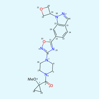 COC1(C(=O)N2CCN(c3noc(-c4ccc5cnn(C6COC6)c5c4)n3)CC2)CC1